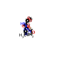 COC(=O)c1csc(NC(=O)C(Cc2ccc(N(C)C)cc2)N2C(=O)NC(c3ccc4c(c3)OCCO4)C2=O)n1